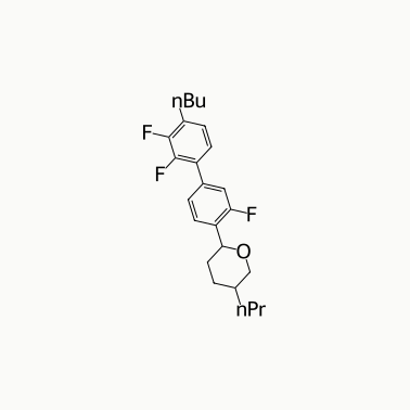 CCCCc1ccc(-c2ccc(C3CCC(CCC)CO3)c(F)c2)c(F)c1F